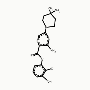 CC1(N)CCN(c2cnc(C(=N)Oc3ccnc(O)c3Cl)c(N)n2)CC1